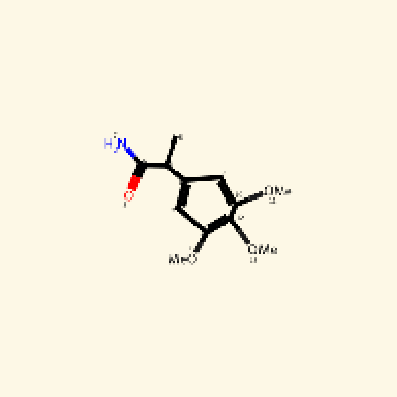 COc1cc(C(C)C(N)=O)cc(OC)c1OC